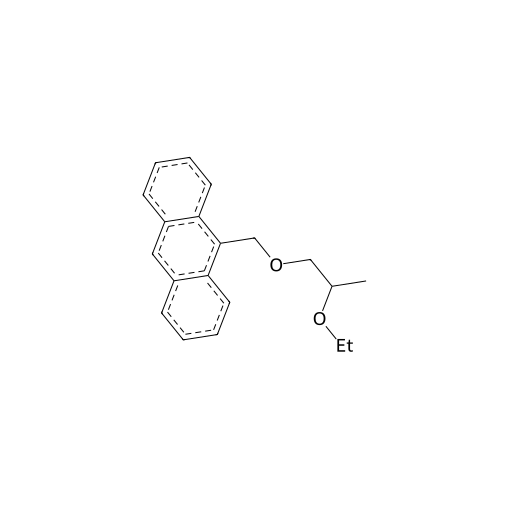 CCOC(C)COCc1c2ccccc2cc2ccccc12